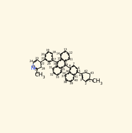 CC1=CC=C(c2ccc(-c3c4ccccc4c(-c4cccc(C5C=CN=C(C)C5)c4)c4ccccc34)c3ccccc23)CC1